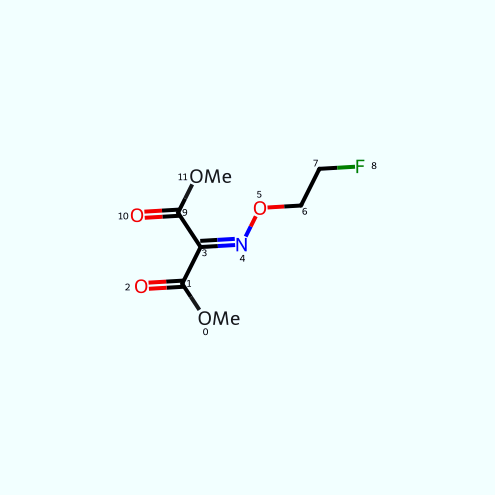 COC(=O)C(=NOCCF)C(=O)OC